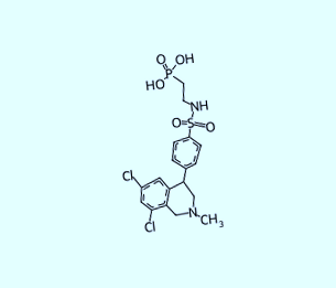 CN1Cc2c(Cl)cc(Cl)cc2C(c2ccc(S(=O)(=O)NCCP(=O)(O)O)cc2)C1